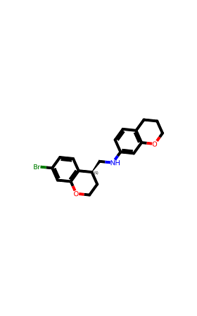 Brc1ccc2c(c1)OCC[C@@H]2CNc1ccc2c(c1)OCCC2